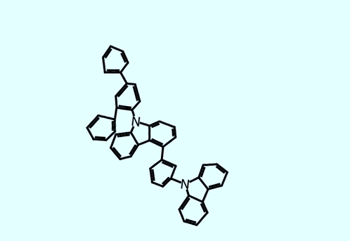 c1ccc(-c2ccc(-n3c4ccccc4c4c(-c5cccc(-n6c7ccccc7c7ccccc76)c5)cccc43)c(-c3ccccc3)c2)cc1